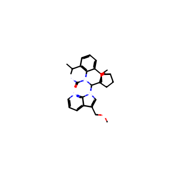 COCc1cn(C(C2CCCC2)N(C(N)=O)c2c(C(C)C)cccc2C(C)C)c2ncccc12